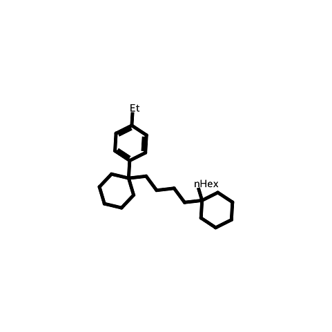 CCCCCCC1(CCCCC2(c3ccc(CC)cc3)CCCCC2)CCCCC1